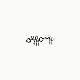 O=C(/C=C/c1ccc(NC(=O)NC(=O)c2ccccc2)cc1)NO